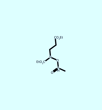 CCOC(=O)CCN(O[PH](C)=O)C(=O)OCC